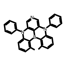 Cc1cccc2c1B1c3c(C)cccc3N(c3ccccc3)c3cncc(c31)N2c1ccccc1